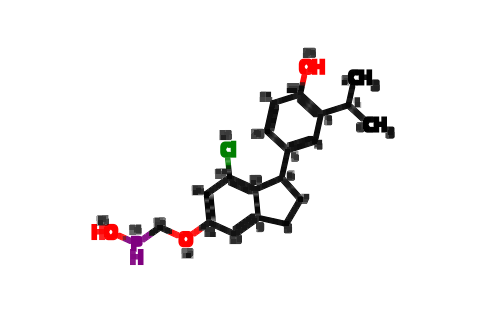 CC(C)c1cc(C2CCc3cc(OCPO)cc(Cl)c32)ccc1O